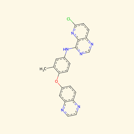 Cc1cc(Nc2ncnc3ccc(Cl)nc23)ccc1Oc1ccc2nccnc2c1